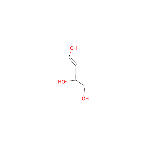 OC=CC(O)CO